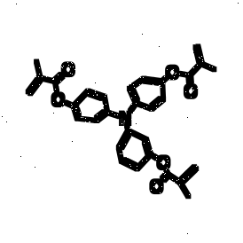 C=C(C)C(=O)Oc1ccc(N(c2ccc(OC(=O)C(=C)C)cc2)c2cccc(OC(=O)C(=C)C)c2)cc1